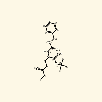 CCC(=O)CCC(NC(=O)OCc1ccccc1)C(=O)OC(C)(C)C